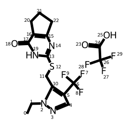 CCn1ncc(C(F)(F)F)c1CSc1nc2c(c(=O)[nH]1)CCC2.O=C(O)C(F)(F)F